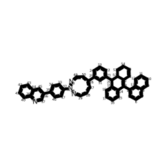 C1=CC2=C(c3cccc4ccccc34)c3ccccc3C(c3cccc(-c4cccnn(-c5ccc(-c6cnc7ccccc7c6)cc5)ncc4)c3)C2C=C1